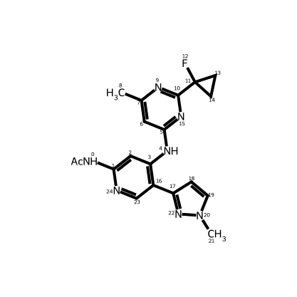 CC(=O)Nc1cc(Nc2cc(C)nc(C3(F)CC3)n2)c(-c2ccn(C)n2)cn1